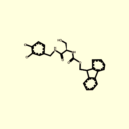 O=C(N[C@H](CO)C(=O)NCc1ccc(Cl)c(Cl)c1)OCC1c2ccccc2-c2ccccc21